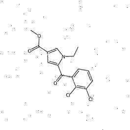 CCn1cc(C(=O)OC)cc1C(=O)c1cccc(Cl)c1Cl